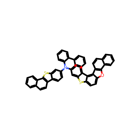 c1ccc(-c2ccccc2N(c2ccc3c(c2)sc2c4ccccc4ccc32)c2ccc3c(c2)sc2ccc4oc5c6ccccc6ccc5c4c23)cc1